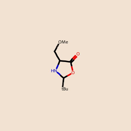 COCC1NC(C(C)(C)C)OC1=O